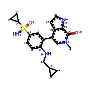 Cn1cc(-c2cc(S(=N)(=O)C3CC3)ccc2NCC2CC2)c2cc[nH]c2c1=O